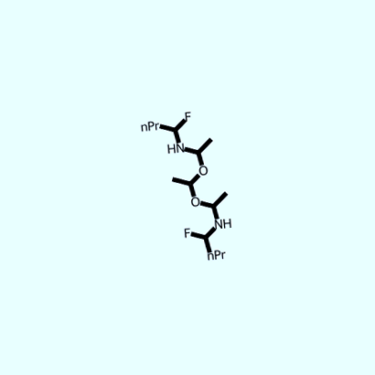 CCCC(F)NC(C)OC(C)OC(C)NC(F)CCC